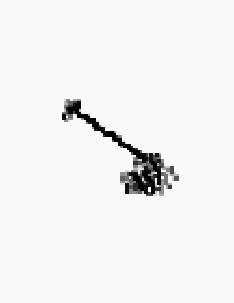 CCC(=O)O.CCC(=O)O.CCCCCCCCC=CCCCCCCCC(=O)O.OCC(O)CO